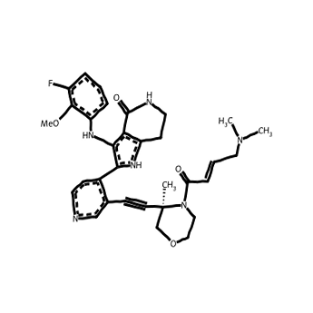 COc1c(F)cccc1Nc1c(-c2ccncc2C#C[C@]2(C)COCCN2C(=O)/C=C/CN(C)C)[nH]c2c1C(=O)NCC2